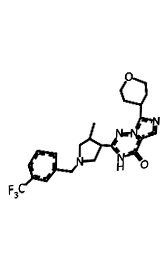 CC1CN(Cc2cccc(C(F)(F)F)c2)CC1c1nn2c(C3CCOCC3)ncc2c(=O)[nH]1